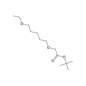 CCOCCCCCOCC(=O)OC(C)(C)C